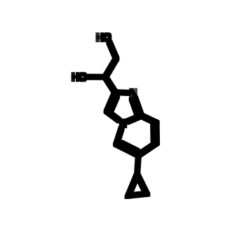 OCC(O)c1cn2cc(C3CC3)ccc2n1